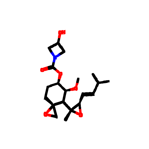 CO[C@H]1C([C@@]2(C)O[C@@H]2/C=C/C(C)C)[C@]2(CC[C@H]1OC(=O)N1CC(O)C1)CO2